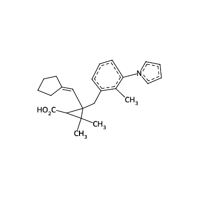 Cc1c(CC2(C=C3CCCC3)C(C(=O)O)C2(C)C)cccc1-n1cccc1